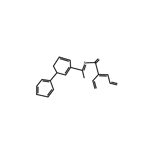 C=C/C=C(\C=C)C(=C)/N=C(\C)C1=CC(c2ccccc2)CC=C1